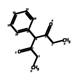 CCC(=O)C(C(=O)CC)c1ccccc1